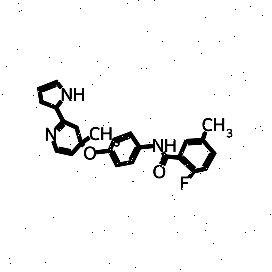 Cc1ccc(F)c(C(=O)Nc2ccc(OC3(C)C=CN=C(C4CC=CN4)C3)cc2)c1